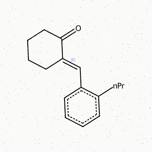 CCCc1ccccc1/C=C1\CCCCC1=O